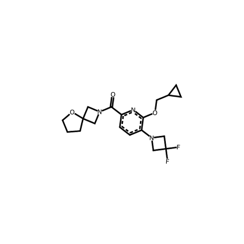 O=C(c1ccc(N2CC(F)(F)C2)c(OCC2CC2)n1)N1CC2(CCCO2)C1